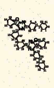 c1ccc(-c2ccc(-c3nc(-c4cccc(-c5cccc(-c6nc(-c7ccc(-c8ccccc8)cc7)c7c(n6)oc6ccccc67)c5)c4)c4c(n3)oc3ccccc34)cc2)cc1